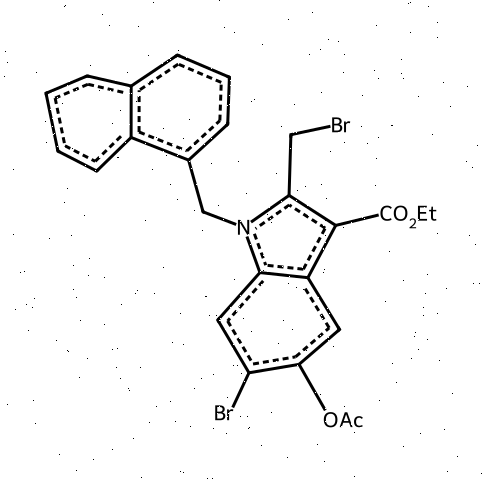 CCOC(=O)c1c(CBr)n(Cc2cccc3ccccc23)c2cc(Br)c(OC(C)=O)cc12